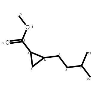 COC(=O)C1CC1CCC(C)C